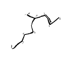 [CH2]C=CC([CH2])CCCC